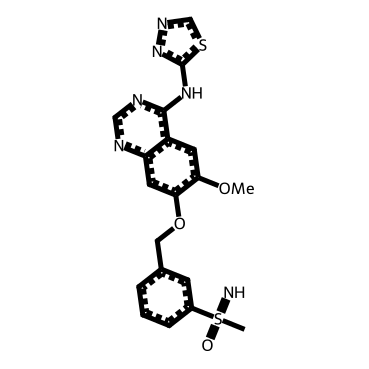 COc1cc2c(Nc3nncs3)ncnc2cc1OCc1cccc(S(C)(=N)=O)c1